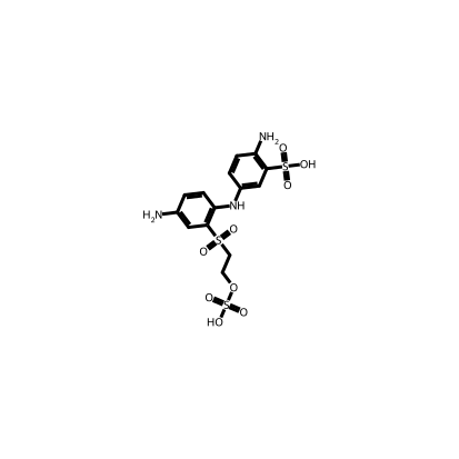 Nc1ccc(Nc2ccc(N)c(S(=O)(=O)O)c2)c(S(=O)(=O)CCOS(=O)(=O)O)c1